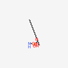 CCCCCCCCCCCCCCCCOCC(COP(O)OCCNC)CC(C)=O